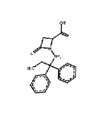 CCC([SiH2]N1C(=O)CC1C(=O)O)(c1ccccc1)c1ccccc1